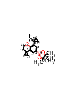 CC1(c2cc(B3OC(C)(C)C(C)(C)O3)cc3c2OCCC32CC2)CC1